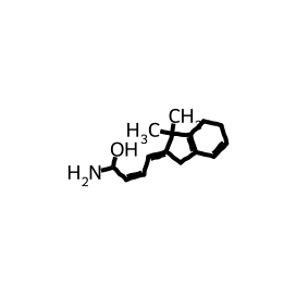 CC1(C)C2=C(C=CCC2)C/C1=C\C=C/C(N)O